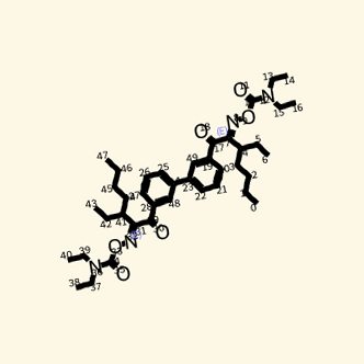 CCCCC(CC)/C(=N\OC(=O)N(CC)CC)C(=O)c1cccc(-c2cccc(C(=O)/C(=N/OC(=O)N(CC)CC)C(CC)CCCC)c2)c1